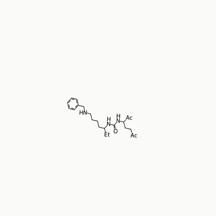 CCC(CCCCNCc1ccccc1)NC(=O)NC(CCC(C)=O)C(C)=O